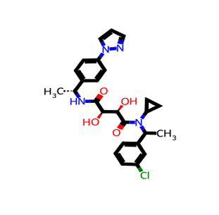 CC(c1cccc(Cl)c1)N(C(=O)[C@H](O)[C@@H](O)C(=O)N[C@H](C)c1ccc(-n2cccn2)cc1)C1CC1